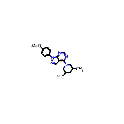 COc1ccc(-n2ncc3c(N4CC(C)CC(C)C4)ncnc32)cc1